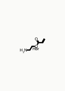 Br.C=CC(=O)OCCN